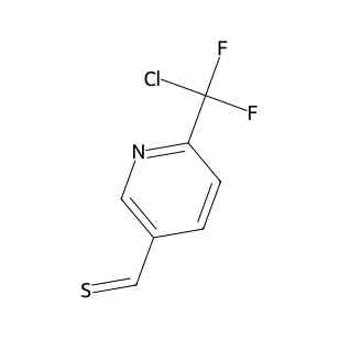 FC(F)(Cl)c1ccc(C=S)cn1